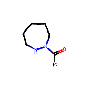 CCC(=O)N1CCCCCN1